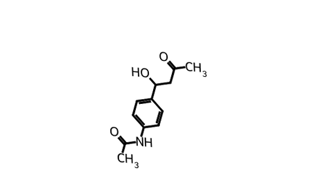 CC(=O)CC(O)c1ccc(NC(C)=O)cc1